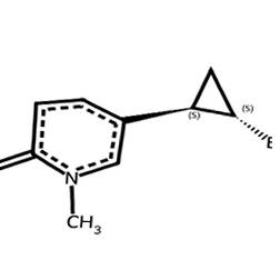 CC[C@H]1C[C@@H]1c1ccc(=O)n(C)c1